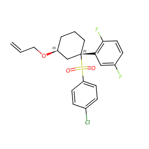 C=CCO[C@H]1CCC[C@](c2cc(F)ccc2F)(S(=O)(=O)c2ccc(Cl)cc2)C1